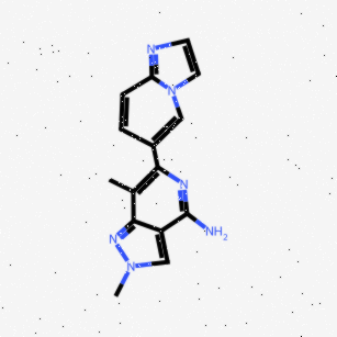 Cc1c(-c2ccc3nccn3c2)nc(N)c2cn(C)nc12